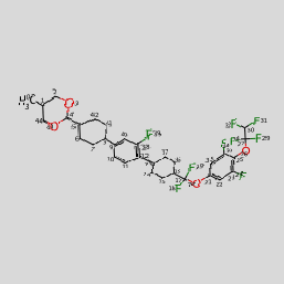 CC1COC(C2CCC(c3ccc(C4CCC(C(F)(F)Oc5cc(F)c(OC(F)(F)C(F)F)c(F)c5)CC4)c(F)c3)CC2)OC1